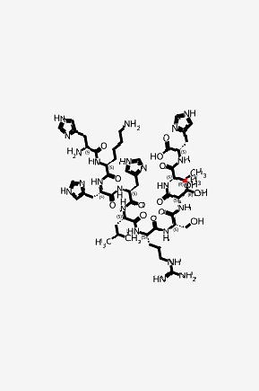 CC(C)C[C@H](NC(=O)[C@H](Cc1c[nH]cn1)NC(=O)[C@H](Cc1c[nH]cn1)NC(=O)[C@H](CCCCN)NC(=O)[C@@H](N)Cc1c[nH]cn1)C(=O)N[C@@H](CCCNC(=N)N)C(=O)N[C@@H](CO)C(=O)N[C@H](C(=O)N[C@H](C(=O)N[C@@H](Cc1c[nH]cn1)C(=O)O)[C@@H](C)O)[C@@H](C)O